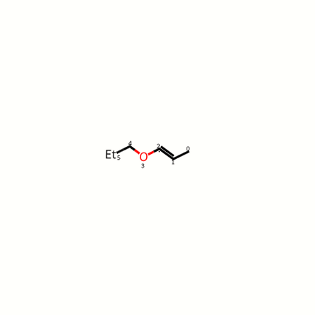 C/C=[C]/OCCC